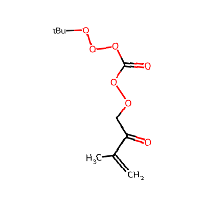 C=C(C)C(=O)COOC(=O)OOOC(C)(C)C